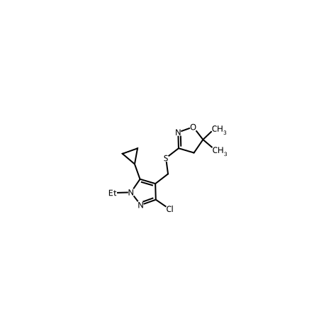 CCn1nc(Cl)c(CSC2=NOC(C)(C)C2)c1C1CC1